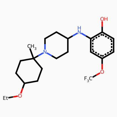 CCOC1CCC(C)(N2CCC(Nc3cc(OC(F)(F)F)ccc3O)CC2)CC1